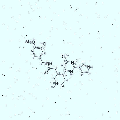 COc1ccc(CNC(=O)CC2CN(C)CCN2c2cc(Cl)nc(-n3ccnc3)n2)cc1Cl